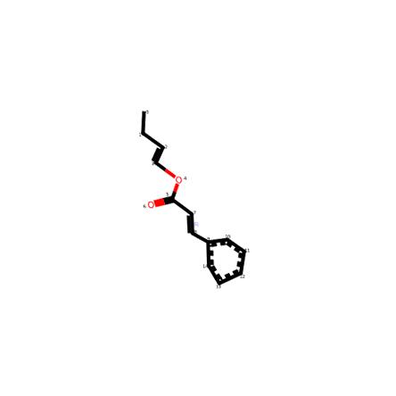 CCC=COC(=O)/C=C/c1ccccc1